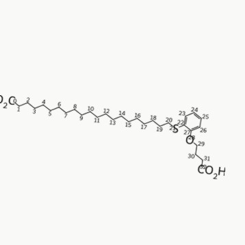 O=C(O)CCCCCCCCCCCCCCCCCCCCSc1ccccc1OCCCC(=O)O